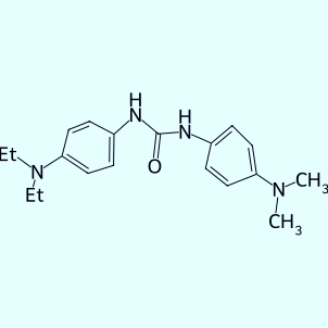 CCN(CC)c1ccc(NC(=O)Nc2ccc(N(C)C)cc2)cc1